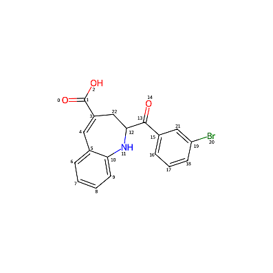 O=C(O)C1=Cc2ccccc2NC(C(=O)c2cccc(Br)c2)C1